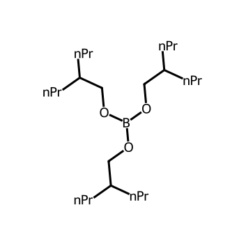 CCCC(CCC)COB(OCC(CCC)CCC)OCC(CCC)CCC